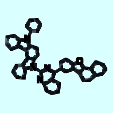 c1ccc(-n2c3ccccc3c3c4c5ccccc5n(-c5nc(-c6ccc7oc8c9ccccc9ccc8c7c6)c6ccccc6n5)c4ccc32)cc1